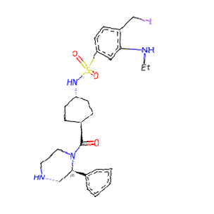 CCNc1cc(S(=O)(=O)N[C@H]2CC[C@H](C(=O)N3CCNC[C@@H]3c3ccccc3)CC2)ccc1CI